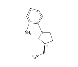 NC[C@@H]1CCN(c2ccccc2N)C1